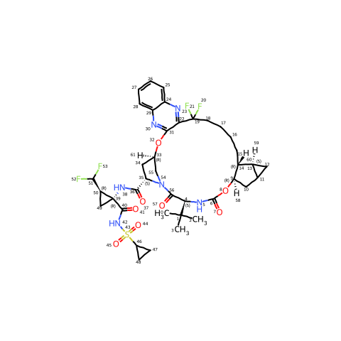 CC(C)(C)[C@@H]1NC(=O)O[C@@H]2CC3C[C@@H]3[C@H]2CCCCC(F)(F)c2nc3ccccc3nc2O[C@@H]2C[C@@H](C(=O)N[C@]3(C(=O)NS(=O)(=O)C4CC4)C[C@H]3C(F)F)N(C2)C1=O